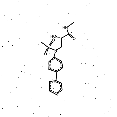 CNC(=O)[C@@H](O)CN(c1ccc(-c2ccccc2)cc1)S(C)(=O)=O